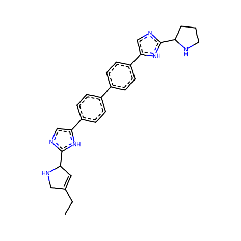 CCC1=CC(c2ncc(-c3ccc(-c4ccc(-c5cnc(C6CCCN6)[nH]5)cc4)cc3)[nH]2)NC1